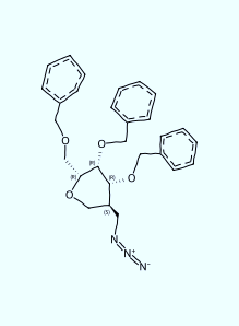 [N-]=[N+]=NC[C@H]1CO[C@H](COCc2ccccc2)[C@H](OCc2ccccc2)[C@@H]1OCc1ccccc1